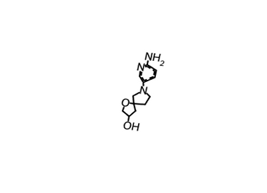 Nc1ccc(N2CCC3(CC(O)CO3)C2)cn1